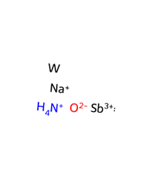 [NH4+].[Na+].[O-2].[Sb+3].[W]